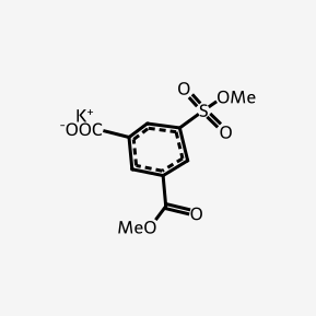 COC(=O)c1cc(C(=O)[O-])cc(S(=O)(=O)OC)c1.[K+]